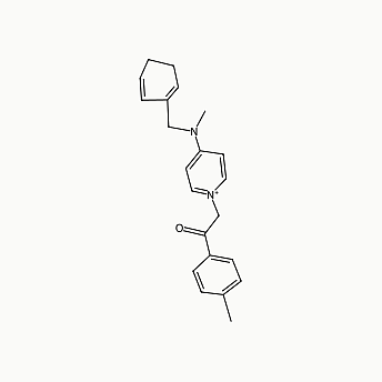 Cc1ccc(C(=O)C[n+]2ccc(N(C)CC3=CCCC=C3)cc2)cc1